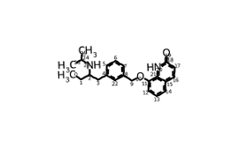 CCC(Cc1cccc(COc2cccc3ccc(=O)[nH]c23)c1)NC(C)C